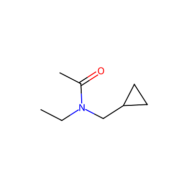 CCN(CC1CC1)C(C)=O